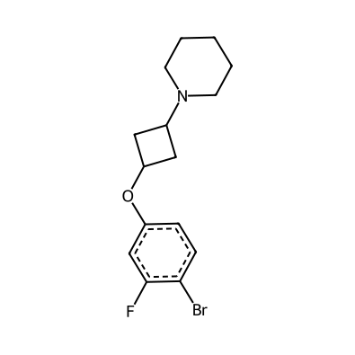 Fc1cc(OC2CC(N3CCCCC3)C2)ccc1Br